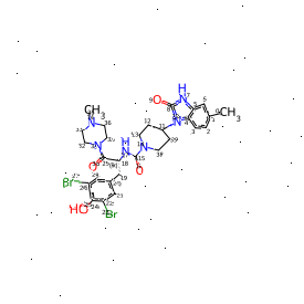 Cc1ccc2c(c1)[nH]c(=O)n2C1CCN(C(=O)N[C@H](Cc2cc(Br)c(O)c(Br)c2)C(=O)N2CCN(C)CC2)CC1